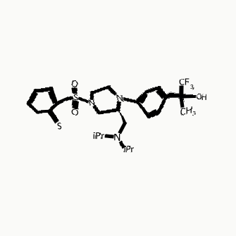 CC(C)N(C[C@H]1CN(S(=O)(=O)C2=CC=CCC2=S)CCN1c1ccc(C(C)(O)C(F)(F)F)cc1)C(C)C